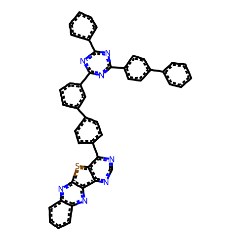 c1ccc(-c2ccc(-c3nc(-c4ccccc4)nc(-c4cccc(-c5ccc(-c6ncnc7c6sc6nc8ccccc8nc67)cc5)c4)n3)cc2)cc1